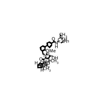 COc1c(CN2O[C@@H](CO)[C@H]([C@H](C)O)[C@H]2C(=O)NC2C[C@H]3C[C@@H]([C@@H]2C)C3(C)C)cccc1-c1ccc(C(=O)N[C@@H](CC(C)C)CN(C)C)cc1